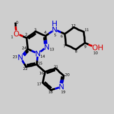 COc1cc(NC2CCC(O)CC2)nn2c(-c3ccncc3)cnc12